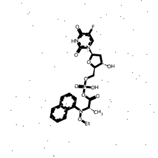 CCON(c1cccc2ccccc12)[C@@H](C)C(=O)OP(=O)(O)OC[C@H]1O[C@@H](n2cc(F)c(=O)[nH]c2=O)C[C@@H]1O